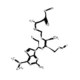 CC(C)OC(=O)[C@H](C)NCO[C@@H](C)[C@@H](COP=O)O[C@H](CF)n1cnc2c(N(C)C)nc(N)nc21